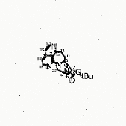 CC(C)(C)OC(=O)N1C2CCC1C1CCc3nccc4ccnc(c34)N1C2